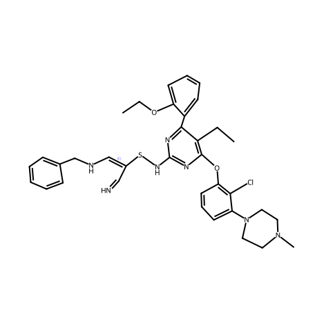 CCOc1ccccc1-c1nc(NS/C(C=N)=C/NCc2ccccc2)nc(Oc2cccc(N3CCN(C)CC3)c2Cl)c1CC